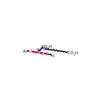 CC(=O)CCOCCOCCN(CCOCCOCCC(C)=O)C(=O)CCC(NC(=O)CCCCCCCCCCCCCCCCC(=O)O)C(=O)O